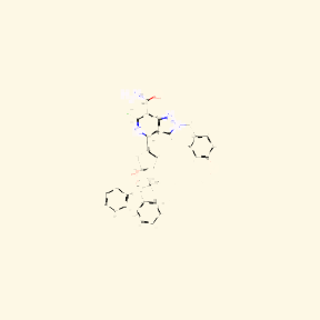 COc1ccc(Cn2cc3c(C4=CCC(O[Si](c5ccccc5)(c5ccccc5)C(C)(C)C)C4)nc(Cl)c(C(N)=O)c3n2)cc1